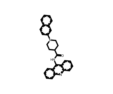 O=C(Nc1c2ccccc2nc2ccccc12)C1CCN(c2ccc3ccccc3c2)CC1